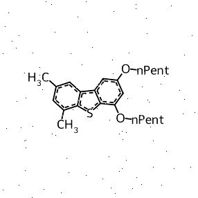 CCCCCOc1cc(OCCCCC)c2sc3c(C)cc(C)cc3c2c1